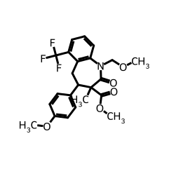 COCN1C(=O)C(C)(C(=O)OC)C(c2ccc(OC)cc2)Cc2c1cccc2C(F)(F)F